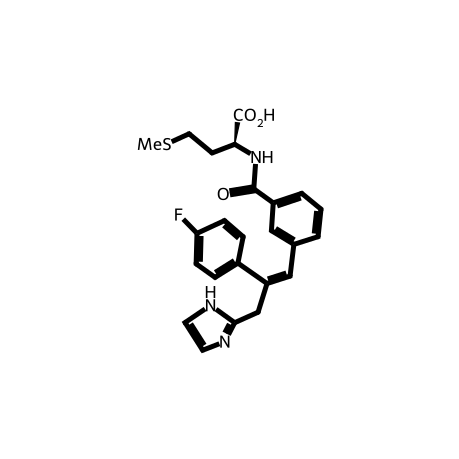 CSCC[C@H](NC(=O)c1cccc(C=C(Cc2ncc[nH]2)c2ccc(F)cc2)c1)C(=O)O